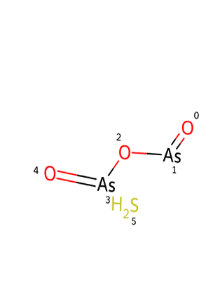 O=[As]O[As]=O.S